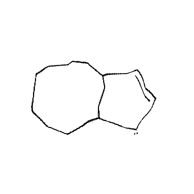 [C]1C=CC2CCCCC12